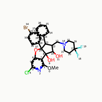 COc1nc(Cl)cc2c1C1(O)C(O)C(CN3CCC(F)(F)CC3)C(c3ccccc3)C1(c1ccc(Br)cc1)O2